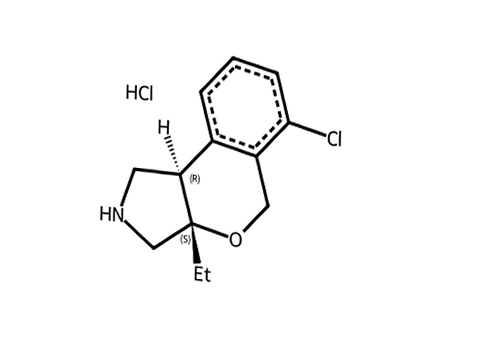 CC[C@@]12CNC[C@H]1c1cccc(Cl)c1CO2.Cl